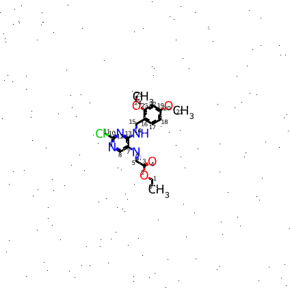 CCOC(=O)/C=N/c1cnc(Cl)nc1NCc1ccc(OC)cc1OC